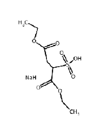 CCOC(=O)CC(C(=O)OCC)S(=O)(=O)O.[NaH]